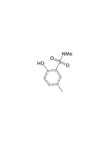 CNS(=O)(=O)c1cc(C)ccc1O